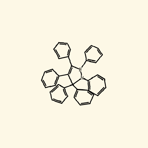 c1ccc(B2C(c3ccccc3)=C(c3ccccc3)C(c3ccccc3)(c3ccccc3)N2c2ccccc2)cc1